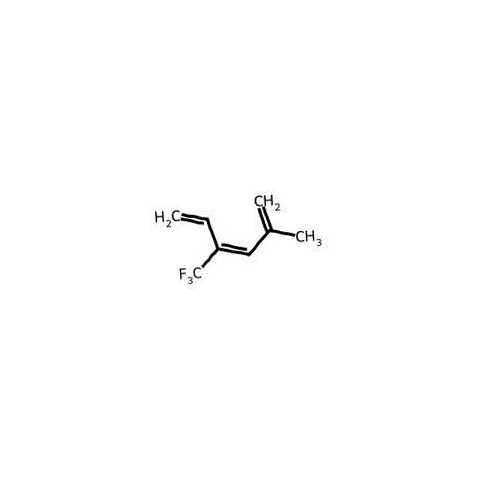 C=C/C(=C\C(=C)C)C(F)(F)F